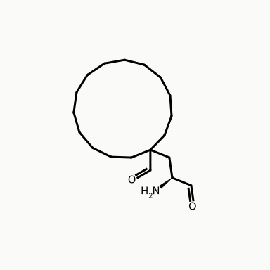 N[C@H](C=O)CC1(C=O)CCCCCCCCCCCCCC1